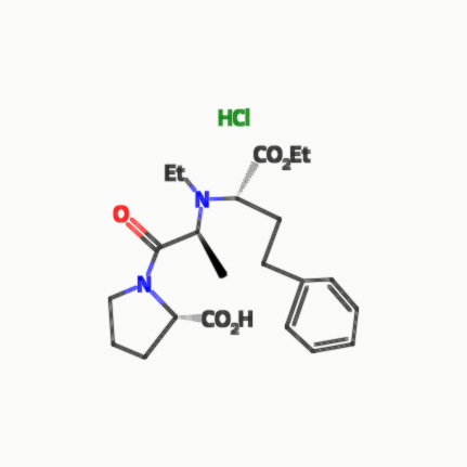 CCOC(=O)[C@H](CCc1ccccc1)N(CC)[C@@H](C)C(=O)N1CCC[C@H]1C(=O)O.Cl